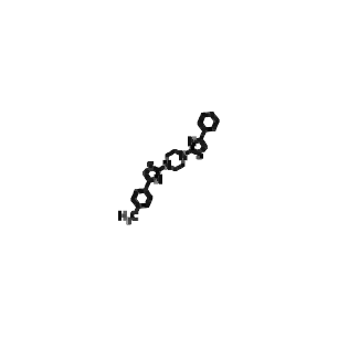 Cc1ccc(-c2csc(N3CCN(c4nc(-c5ccccc5)cs4)CC3)n2)cc1